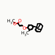 COC(=O)/C=C/Oc1ccc(C23CC4CC(CC(C4)C2)C3)cc1C